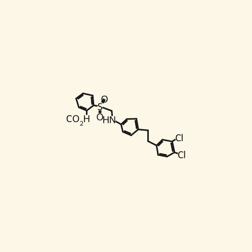 O=C(O)c1ccccc1S(=O)(=O)CNc1ccc(CCc2ccc(Cl)c(Cl)c2)cc1